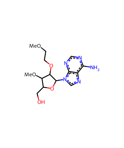 COCCOC1C(OC)C(CO)OC1n1cnc2c(N)ncnc21